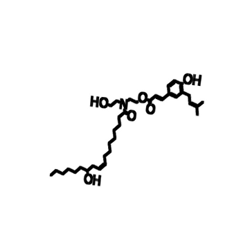 CCCCCC[C@H](O)C/C=C\CCCCCCCC(=O)N(CCO)CCOC(=O)/C=C/c1ccc(O)c(CC=C(C)C)c1